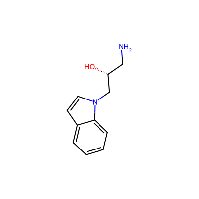 NC[C@@H](O)Cn1ccc2ccccc21